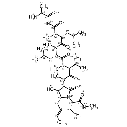 C/C=C/C[C@@H]1[C@@H](O)C(N(C)C(=O)[C@H](C(C)C)N(C)C(=O)[C@H](CC(C)C)N(C)C(=O)[C@@H](CC(C)C)N(C)C(=O)NC(=O)[C@H](C)N)C(=O)N1[C@@H](CC)C(=O)NC